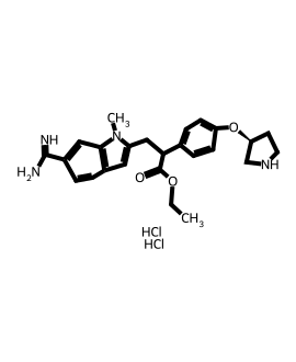 CCOC(=O)C(Cc1cc2ccc(C(=N)N)cc2n1C)c1ccc(O[C@H]2CCNC2)cc1.Cl.Cl